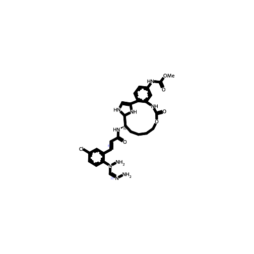 COC(=O)Nc1ccc2c(c1)NC(=O)OCCCC[C@H](NC(=O)/C=C/c1cc(Cl)ccc1N(N)/C=N\N)C1NC=C2N1